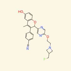 CC1=C(c2ccc(C#N)cc2)C(c2cnc(OCCN3CC(CF)C3)cn2)Oc2ccc(O)cc21